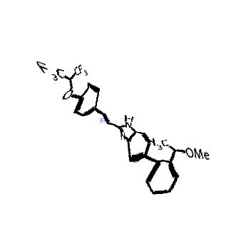 COC(C)c1ccccc1-c1ccc2[nH]c(/C=C/c3ccc(OC(C(F)(F)F)C(F)(F)F)cc3)nc2c1